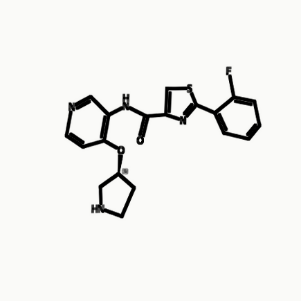 O=C(Nc1cnccc1O[C@H]1CCNC1)c1csc(-c2ccccc2F)n1